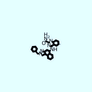 NC(=O)c1nc(Nc2cc3nn(Cc4ccccc4)cc3c3ccccc23)c2c[c]ccc2n1